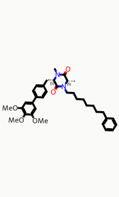 COc1cc(-c2ccc(C[C@H]3C(=O)N(CCCCCCCCc4ccccc4)[C@@H](C)C(=O)N3C)cc2)cc(OC)c1OC